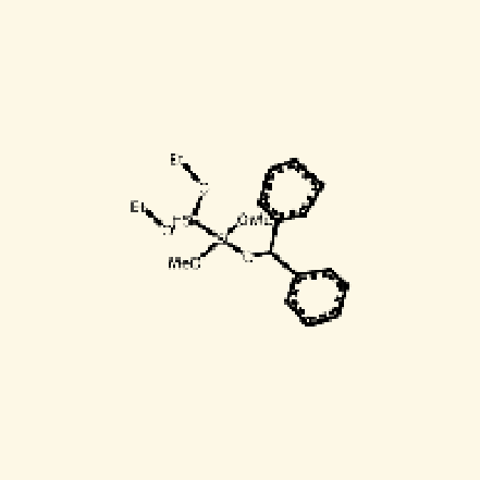 CCO[SiH](OCC)[Si](OC)(OC)OC(c1ccccc1)c1ccccc1